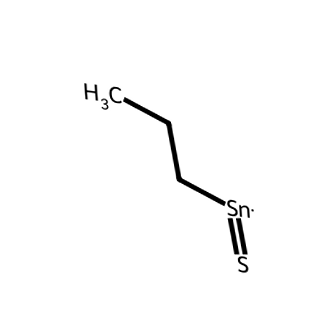 CC[CH2][Sn]=[S]